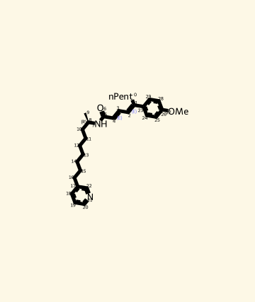 CCCCC/C(=C\C=C\C(=O)N[C@H](C)CCCCCCCc1cccnc1)c1ccc(OC)cc1